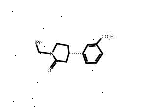 CCOC(=O)c1cccc([C@H]2CCN(C[C](C)C)C(=O)C2)c1